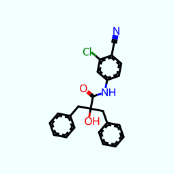 N#Cc1ccc(NC(=O)C(O)(Cc2ccccc2)Cc2ccccc2)cc1Cl